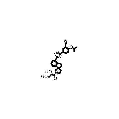 CC(C)Oc1ccc(-c2nc(-c3cccc4c3CCC43CCN(C(=O)[C@@H](O)CO)C3)no2)cc1C#N